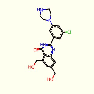 O=c1[nH]c(-c2cc(Cl)cc(N3CCNCC3)c2)nc2cc(CO)cc(CO)c12